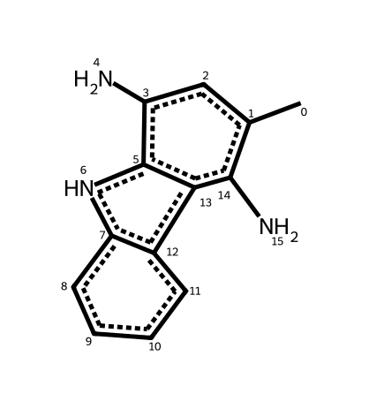 Cc1cc(N)c2[nH]c3ccccc3c2c1N